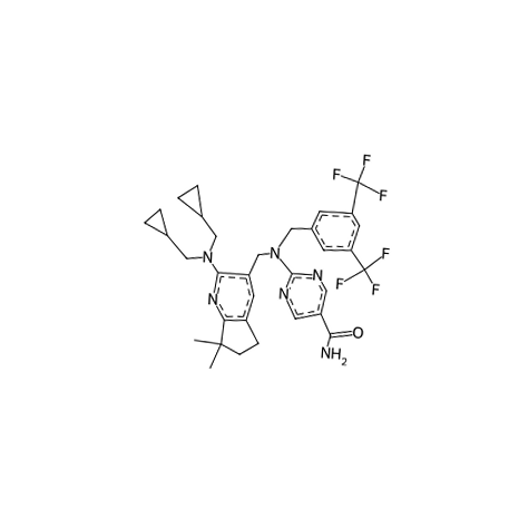 CC1(C)CCc2cc(CN(Cc3cc(C(F)(F)F)cc(C(F)(F)F)c3)c3ncc(C(N)=O)cn3)c(N(CC3CC3)CC3CC3)nc21